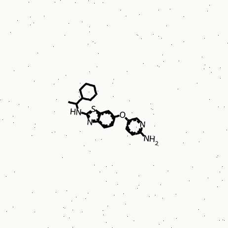 CC(Nc1nc2ccc(Oc3ccc(N)nc3)cc2s1)C1CCCCC1